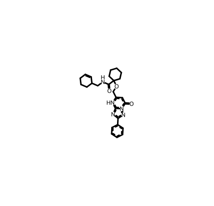 O=C(NCC1C=CCCC1)C1(OCc2cc(=O)n3nc(-c4ccccc4)nc3[nH]2)CCCCC1